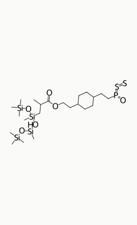 CC(C[Si](C)(O[SiH](C)O[Si](C)(C)C)O[Si](C)(C)C)C(=O)OCCC1CCC(CCP(=O)=S=S)CC1